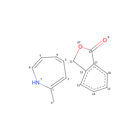 CC1=CC=CC=CN1.O=C1OCc2ccccc21